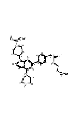 COCCOC(=O)Nc1ccc(-c2nc(N3CCOCC3)c3cnn(C4CCN(C(=O)OC)CC4)c3n2)cc1